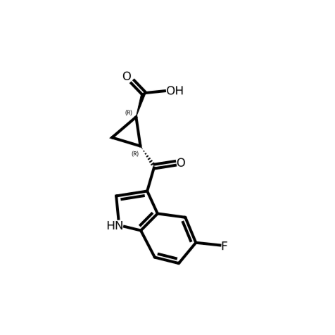 O=C(O)[C@@H]1C[C@H]1C(=O)c1c[nH]c2ccc(F)cc12